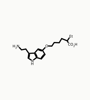 CCC(CCCCOc1ccc2[nH]cc(CCN)c2c1)C(=O)O